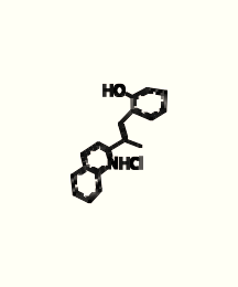 CC(=Cc1ccccc1O)c1ccc2ccccc2n1.Cl